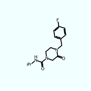 CC(C)NC(=O)N1CCN(Cc2ccc(F)cc2)C(=O)C1